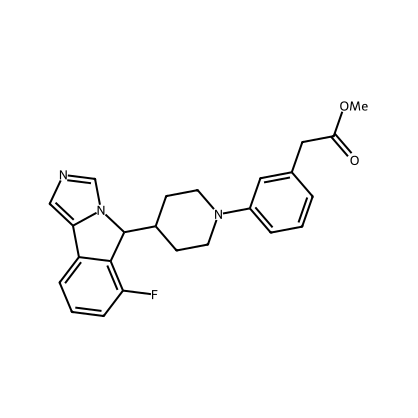 COC(=O)Cc1cccc(N2CCC(C3c4c(F)cccc4-c4cncn43)CC2)c1